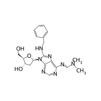 CN(C)C=Nc1ncnc2c1nc(NCc1ccccc1)n2[C@H]1C[C@H](O)[C@@H](CO)O1